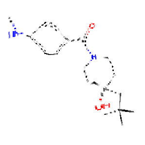 CNc1ccc(C(=O)N2CCC(O)(CC(C)(C)C)CC2)cc1